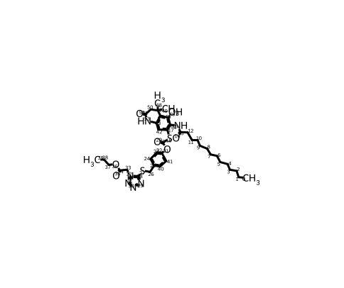 CCCCCCCCCCCCCC(=O)Nc1c(SC(=O)Oc2ccc(CSc3nnnn3CC(=O)OCCC)cc2)cc2c(c1O)C(C)(C)CC(=O)N2